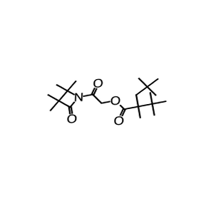 CC(C)(C)CC(C)(C(=O)OCC(=O)N1C(=O)C(C)(C)C1(C)C)C(C)(C)C